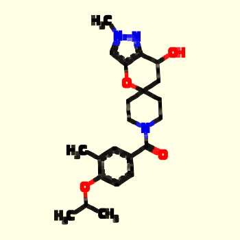 Cc1cc(C(=O)N2CCC3(CC2)CC(O)c2nn(C)cc2O3)ccc1OC(C)C